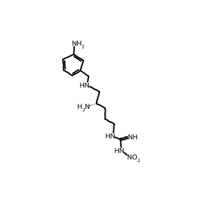 N=C(NCCC[C@H](N)CNCc1cccc(N)c1)N[N+](=O)[O-]